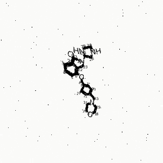 O=C1c2cccc(OCc3ccc(CN4CCOCC4)cc3)c2CN1[C@@H]1CNCCN1